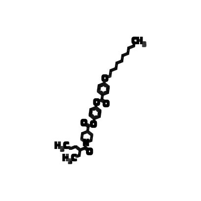 CCCCCCCCCCOc1ccc(C(=O)Oc2ccc(OC(=O)C3CCN(C(=O)C(CC)CCC)CC3)cc2)cc1